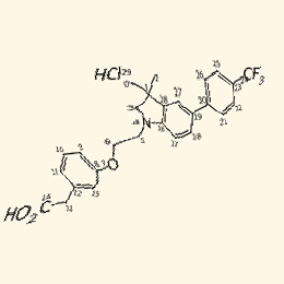 CC1(C)CN(CCOc2cccc(CC(=O)O)c2)c2ccc(-c3ccc(C(F)(F)F)cc3)cc21.Cl